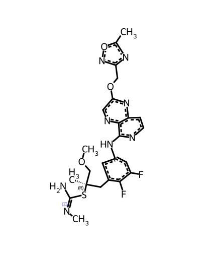 C/N=C(/N)S[C@@](C)(COC)Cc1cc(Nc2nccc3nc(OCc4noc(C)n4)cnc23)cc(F)c1F